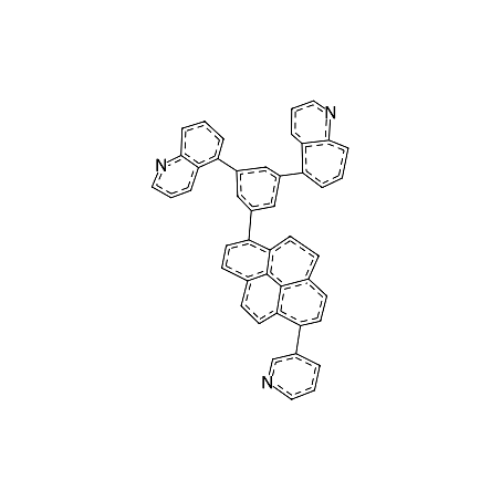 c1cncc(-c2ccc3ccc4c(-c5cc(-c6cccc7ncccc67)cc(-c6cccc7ncccc67)c5)ccc5ccc2c3c54)c1